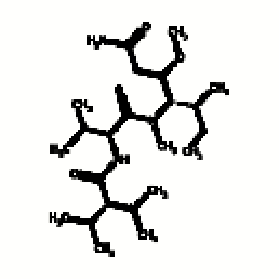 CCC(C)[C@@H](C(CC(N)=O)OC)N(C)C(=O)[C@@H](NC(=O)[C@H](C(C)C)N(C)C)C(C)C